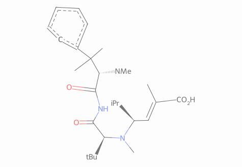 CN[C@H](C(=O)NC(=O)[C@@H](N(C)[C@H](/C=C(\C)C(=O)O)C(C)C)C(C)(C)C)C(C)(C)c1ccccc1